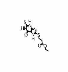 CCOC(=O)CCSc1nc2[nH]c(=S)[nH]c(=O)c2[nH]1